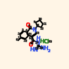 Cc1ccc2c(=O)n(C3CCCC3)cc(C(=O)NC(=N)N)c2c1.Cl